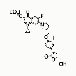 O=C(O)Oc1cn(C2CC2)c2cc(N3CC[C@H](COc4ccc(N5C[C@H](CO)OC5=O)cc4F)C3)c(F)cc2c1=O